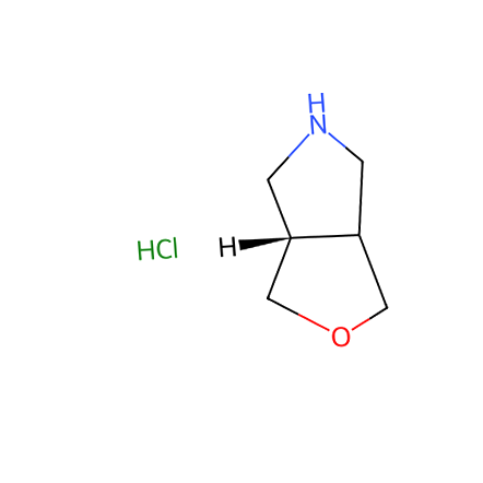 C1NC[C@H]2COCC12.Cl